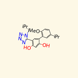 COc1ccc(C(C)C)cc1-c1cc(-c2nnnn2CC(C)C)c(O)cc1O